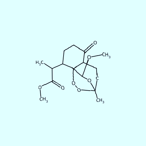 COC(=O)C(C)C1CCC(=O)C2CCC3(C)OOC21C(OC)O3